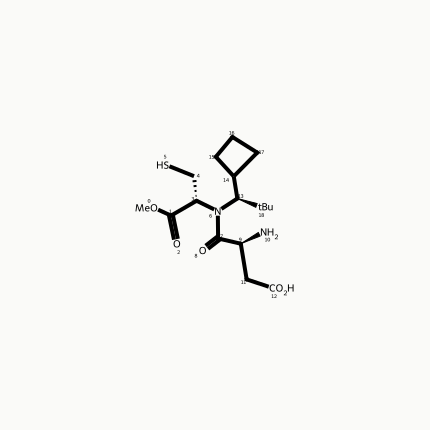 COC(=O)[C@H](CS)N(C(=O)[C@@H](N)CC(=O)O)[C@@H](C1CCC1)C(C)(C)C